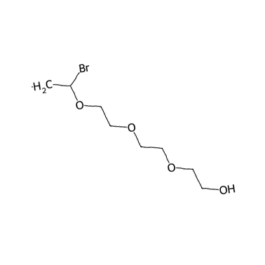 [CH2]C(Br)OCCOCCOCCO